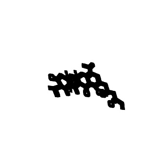 C=C(C)C1C(=O)C[C@@]2(C)C[C@@]3(C)Cc4c(C(C)C)cc(CC(=O)CC(=O)CC)c(O)c4C(=O)C3=C(C)[C@@]2(C)C1C